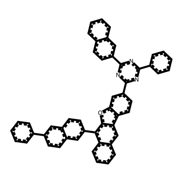 c1ccc(-c2ccc3cc(-c4c5ccccc5cc5c4oc4cc(-c6nc(-c7ccccc7)nc(-c7ccc8ccccc8c7)n6)ccc45)ccc3c2)cc1